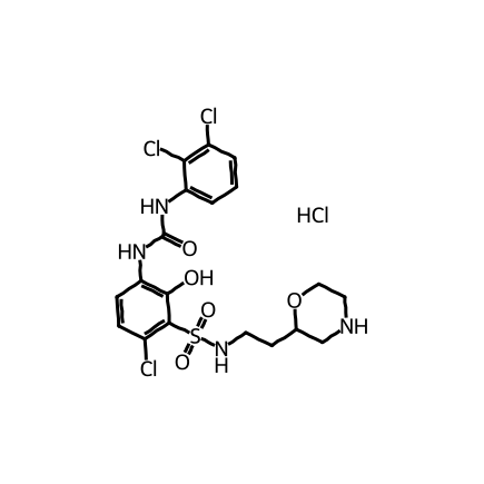 Cl.O=C(Nc1ccc(Cl)c(S(=O)(=O)NCCC2CNCCO2)c1O)Nc1cccc(Cl)c1Cl